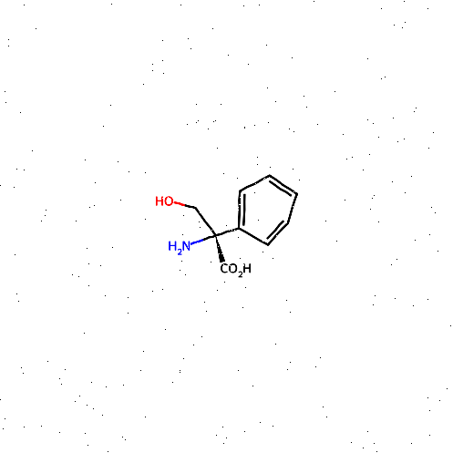 N[C@@](CO)(C(=O)O)c1ccccc1